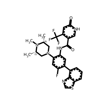 C[C@@H]1CN(c2cc(F)c(-c3cccc4scnc34)cc2NC(=O)c2c[nH]c(=O)cc2C(F)(F)F)C[C@H](C)N1C